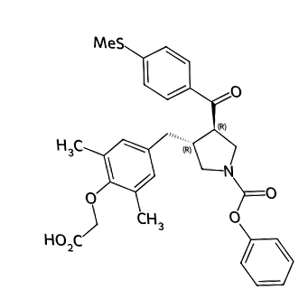 CSc1ccc(C(=O)[C@H]2CN(C(=O)Oc3ccccc3)C[C@@H]2Cc2cc(C)c(OCC(=O)O)c(C)c2)cc1